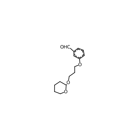 O=Cc1cccc(OCCCOC2CCCCO2)c1